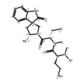 CC(=O)N(C)[C@@H](CCC(C)(C)C)C(=O)N(C)[C@@H](CC(C)C)C(=O)N1C[C@]2(C[C@H]1C#N)C(=O)Nc1ccccc12